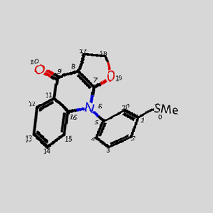 CSc1cccc(-n2c3c(c(=O)c4ccccc42)CCO3)c1